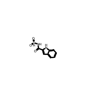 O=C(N[SH](=O)=O)c1cc2ccccc2[nH]1